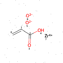 C=CC(=O)O.[O-2].[O-2].[Zr+4]